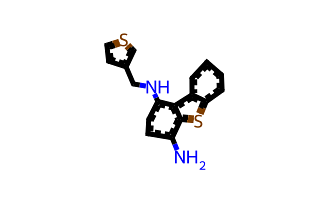 Nc1ccc(NCc2ccsc2)c2c1sc1ccccc12